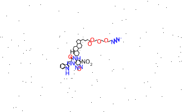 C[C@H](CCC(=O)OCCOCCOCCN=[N+]=[N-])C1CCC2C3CC[C@@H]4C[C@H](NC(=O)[C@H](Cc5c[nH]c6ccccc56)Nc5ccc([N+](=O)[O-])c6nonc56)CC[C@]4(C)C3CC[C@@]21C